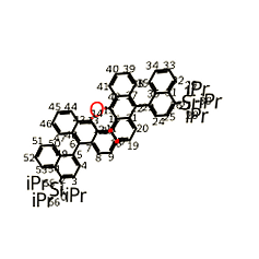 CC(C)[Si](c1ccc(-c2c3ccccc3c(Oc3c4ccccc4c(-c4ccc([Si](C(C)C)(C(C)C)C(C)C)c5ccccc45)c4ccccc34)c3ccccc23)c2ccccc12)(C(C)C)C(C)C